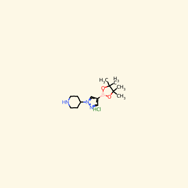 CC1(C)OB(c2cnn(C3CCNCC3)c2)OC1(C)C.Cl